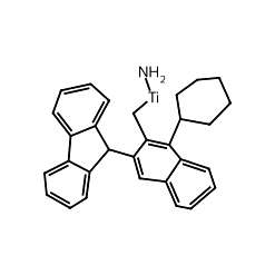 [NH2][Ti][CH2]c1c(C2c3ccccc3-c3ccccc32)cc2ccccc2c1C1CCCCC1